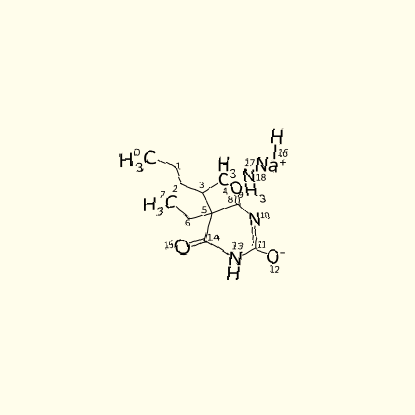 CCCC(C)C1(CC)C(=O)N=C([O-])NC1=O.I.N.[Na+]